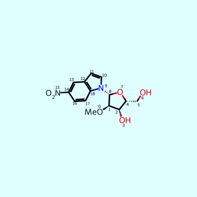 CO[C@@H]1[C@H](O)[C@@H](CO)O[C@H]1n1ccc2cc([N+](=O)[O-])ccc21